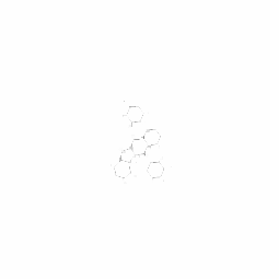 Clc1ccc(-c2cccc3c(-c4ccccc4)c4c(cc23)sc2ccccc24)cc1